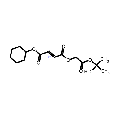 CC(C)(C)OC(=O)COC(=O)/C=C/C(=O)OC1CCCCC1